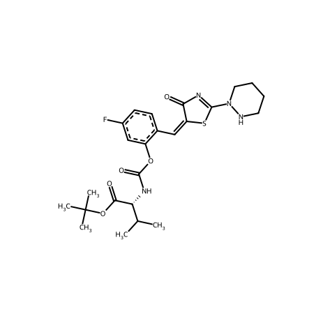 CC(C)[C@@H](NC(=O)Oc1cc(F)ccc1/C=C1/SC(N2CCCCN2)=NC1=O)C(=O)OC(C)(C)C